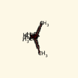 CCCCCCCCCCCCCCCCCCCCCCCCCCCc1cccc(C2=C(CCCC)C(CCCCC)=C(c3cccc(CCCCCCCCCCCCCCCCCCCCCCCCCCC)c3)[N+]2=[N-])c1.CCC[CH2][Ni][CH2]CCC